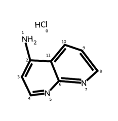 Cl.Nc1ccnc2ncccc12